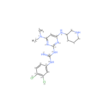 CN(C)c1cc(NC2CCCNC2)nc(NC(=N)Nc2ccc(Cl)c(Cl)c2)n1